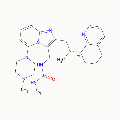 CC(C)NC(=O)NCc1c(CN(C)[C@H]2CCCc3cccnc32)nc2cccc(N3CCN(C)CC3)n12